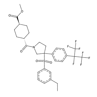 CCc1cccc(S(=O)(=O)C2(c3ccc(C(F)(C(F)(F)F)C(F)(F)F)cc3)CCN(C(=O)[C@H]3CC[C@H](C(=O)OC)CC3)C2)c1